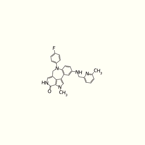 Cc1cccc(CNc2ccc3c(c2)-c2cn(C)c4c(=O)[nH]cc(c24)CN3c2ccc(F)cc2)n1